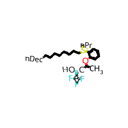 CCCCCCCCCCCCCCCCCC[S+](CCC)c1ccccc1OC(C)C(=O)O.F[B-](F)(F)F